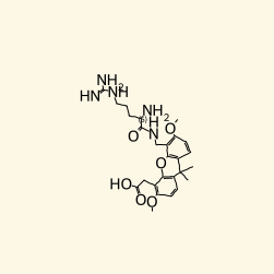 COc1ccc2c(c1CNC(=O)[C@@H](N)CCCNC(=N)N)Oc1c(ccc(OC)c1CC(=O)O)C2(C)C